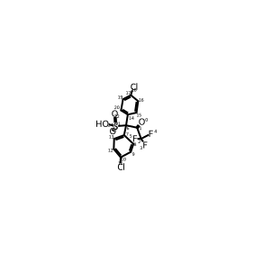 O=C(C(F)(F)F)C(c1ccc(Cl)cc1)(c1ccc(Cl)cc1)S(=O)(=O)O